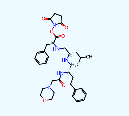 CC(C)C[C@@H](CN[C@@H](Cc1ccccc1)C(=O)ON1C(=O)CCC1=O)NC[C@H](CCc1ccccc1)NC(=O)CN1CCOCC1